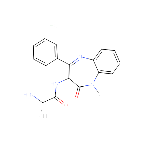 C[C@H](N)C(=O)NC1C(=O)N(C)c2ccccc2N=C1c1ccccc1.Cl